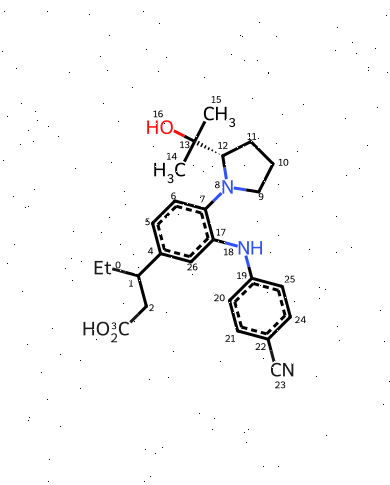 CCC(CC(=O)O)c1ccc(N2CCC[C@H]2C(C)(C)O)c(Nc2ccc(C#N)cc2)c1